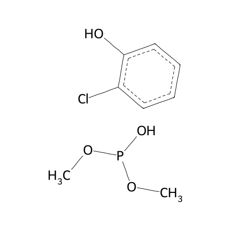 COP(O)OC.Oc1ccccc1Cl